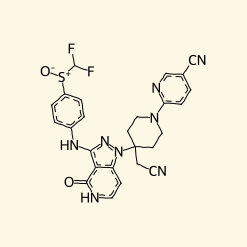 N#CCC1(n2nc(Nc3ccc([S+]([O-])C(F)F)cc3)c3c(=O)[nH]ccc32)CCN(c2ccc(C#N)cn2)CC1